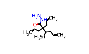 C=CC[CH]([SnH3])C(CC=C)(CC=C)C(=O)NN